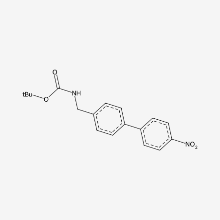 CC(C)(C)OC(=O)NCc1ccc(-c2ccc([N+](=O)[O-])cc2)cc1